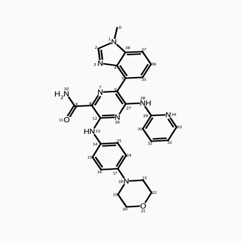 Cn1cnc2c(-c3nc(C(N)=O)c(Nc4ccc(N5CCOCC5)cc4)nc3Nc3ccccn3)cccc21